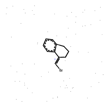 Br/C=C1\CCCc2ccccc21